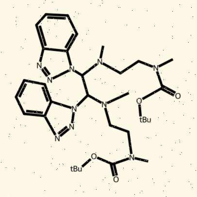 CN(CCN(C)C(C(N(C)CCN(C)C(=O)OC(C)(C)C)n1nnc2ccccc21)n1nnc2ccccc21)C(=O)OC(C)(C)C